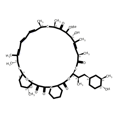 COC1C(=O)[C@H](C)C[C@H](C)/C=C/C=C/C=C(\C)[C@@H](C)C[C@@H]2CC[C@@H](C)[C@@](O)(O2)C(=O)C(=O)N2CCCCC2C(=O)O[C@H]([C@H](C)C[C@@H]2CC[C@@H](O)[C@H](C)C2)CC(=O)[C@H](C)/C=C(\C)[C@H]1O